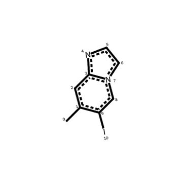 Cc1cc2nccn2cc1I